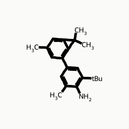 Cc1cc(-c2cc(C)c(N)c(C(C)(C)C)c2)c2c(c1)C2(C)C